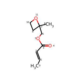 CC=CC(=O)OCC1(C)CCO1